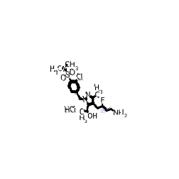 Cc1nn(Cc2ccc(S(=O)(=O)N(C)C)c(Cl)c2)c(C(C)O)c1C/C(F)=C/CN.Cl